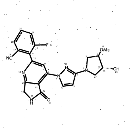 COC1CN(c2ccn(-c3cc(-c4c(F)cccc4C#N)nc4c3C(=O)NC4)n2)C[C@H]1O